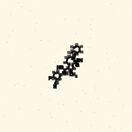 Cn1cc2c(c1C(O)Nc1ccc(F)c(C#N)c1)CC[C@H](Cc1ccccc1)NS2(=N)=O